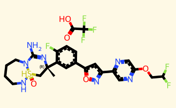 C[C@@]1(c2cc(-c3cc(-c4cnc(OCC(F)F)cn4)no3)ccc2F)C[SH]2(=O)NCCCCN2C(N)=N1.O=C(O)C(F)(F)F